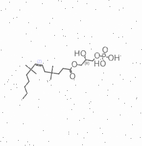 CCCCCC(C)(C)/C=C\CC(C)(C)CCC(=O)OC[C@@H](O)COP(=O)(O)O